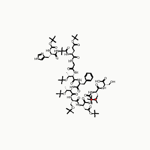 CC(C)[C@H](NC(=O)[C@H](CC(=O)OC(C)(C)C)NC(=O)[C@H](COC(C)(C)C)NC(=O)[C@@H](NC(=O)[C@H](Cc1ccccc1)NC(=O)[C@@H](NC(=O)CNC(=O)[C@H](CCC(=O)OC(C)(C)C)NC(=O)C(C)(C)NC(=O)[C@H](Cc1c[nH]cn1)NC(=O)OC(C)(C)C)[C@@H](C)OC(C)(C)C)[C@@H](C)OC(C)(C)C)C(=O)N[C@@H](COC(C)(C)C)C(=O)N[C@@H](CO)C(=O)O